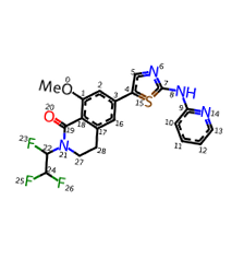 COc1cc(-c2cnc(Nc3ccccn3)s2)cc2c1C(=O)N(C(F)C(F)F)CC2